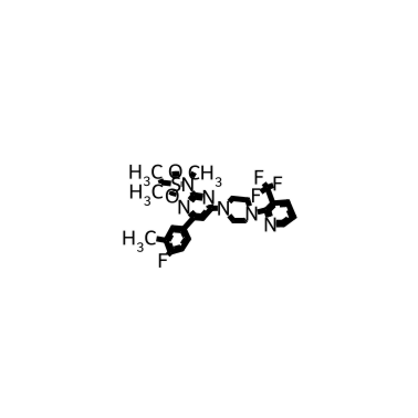 Cc1cc(-c2cc(N3CCN(c4ncccc4C(F)(F)F)CC3)nc(N(C)S(=O)(=O)C(C)C)n2)ccc1F